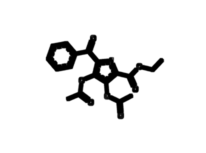 CCOC(=O)c1sc(C(=O)c2ccccc2)c(OC(C)=O)c1OC(C)=O